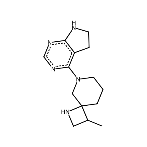 CC1CNC12CCCN(c1ncnc3c1CCN3)C2